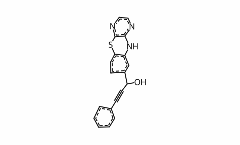 OC(C#Cc1ccccc1)c1ccc2c(c1)Nc1nccnc1S2